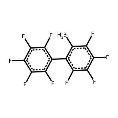 Bc1c(F)c(F)c(F)c(F)c1-c1c(F)c(F)c(F)c(F)c1F